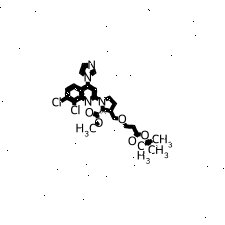 COC(=O)[C@H]1C(COCCC(=O)OC(C)(C)C)CCN1c1cc(-n2ccnc2)c2ccc(Cl)c(Cl)c2n1